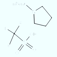 CCCCCN1CCCC1.O=S(=O)(O)C(F)(F)F